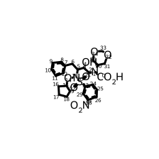 O=C(O)N(C[C@@H](O)C(Cc1ccccc1)N(OC1CCCC1)S(=O)(=O)c1cccc([N+](=O)[O-])c1)C1COCOC1